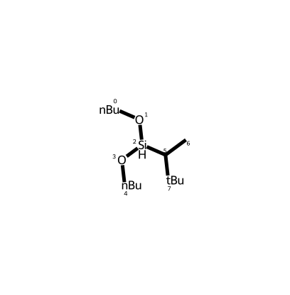 CCCCO[SiH](OCCCC)C(C)C(C)(C)C